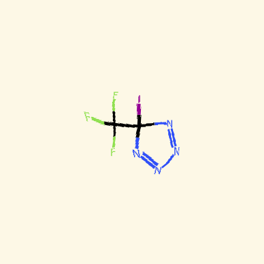 FC(F)(F)C1(I)N=NN=N1